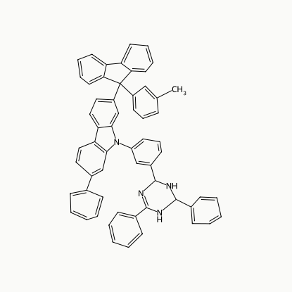 Cc1cccc(C2(c3ccc4c5ccc(-c6ccccc6)cc5n(-c5cccc(C6N=C(c7ccccc7)NC(c7ccccc7)N6)c5)c4c3)c3ccccc3-c3ccccc32)c1